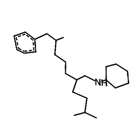 CC(C)CCC(CCCC(C)Cc1ccccc1)CNC1CCCCC1